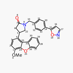 COc1ccc(C2CC(=O)N(Cc3ccc(-c4ccno4)cc3)C2)c2c1oc1ccccc12